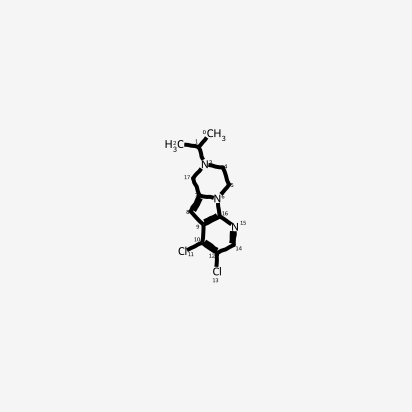 CC(C)N1CCn2c(cc3c(Cl)c(Cl)cnc32)C1